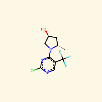 C[C@H]1C[C@H](O)CN1c1nc(Cl)ncc1C(F)(F)F